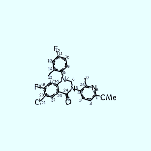 COc1ccc(N2CN(c3ccc(F)cc3C)c3cc(F)c(Cl)cc3C2=O)c(C)n1